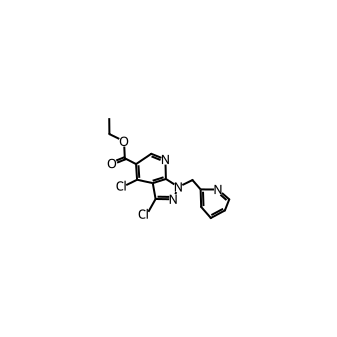 CCOC(=O)c1cnc2c(c(Cl)nn2Cc2ccccn2)c1Cl